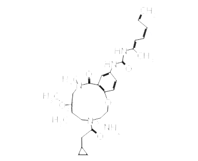 C=C/C=C\C=C(/C)NC(=O)Nc1ccc2c(c1)C(=O)N(C)C[C@H](OC)[C@@H](C)CN(C(=O)CC1CC1)[C@@H](N)CO2